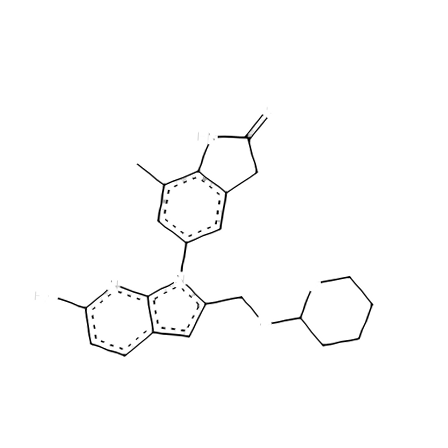 Cc1cc(-n2c(COC3CCCCO3)cc3ccc(C(F)(F)F)nc32)cc2c1NC(=O)C2